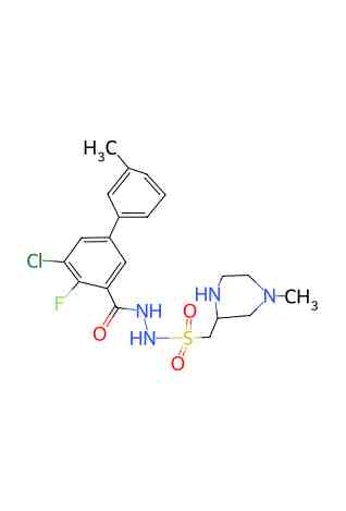 Cc1cccc(-c2cc(Cl)c(F)c(C(=O)NNS(=O)(=O)CC3CN(C)CCN3)c2)c1